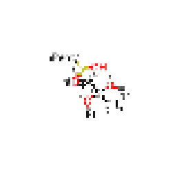 CCCCCCC[Si](C)(OCC)OCC.CCCCCS(=O)O